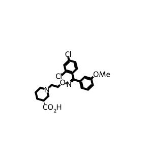 COc1cccc(C(=NOCCN2CCC[C@@H](C(=O)O)C2)c2ccc(Cl)cc2Cl)c1